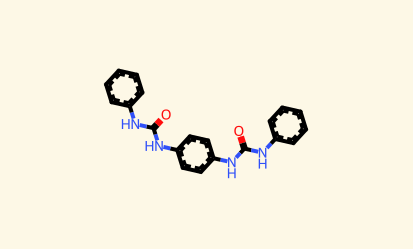 O=C(Nc1ccccc1)Nc1ccc(NC(=O)Nc2ccccc2)cc1